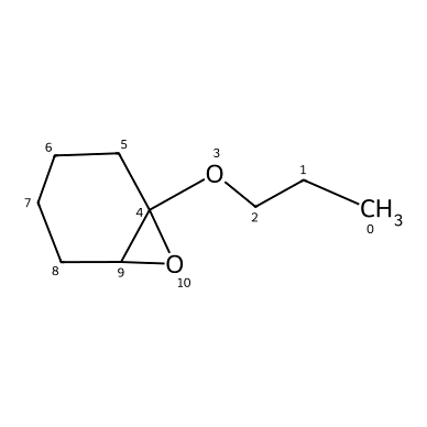 CCCOC12CCCCC1O2